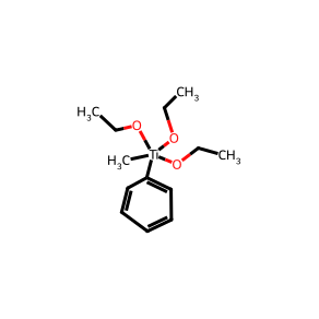 CC[O][Ti]([CH3])([O]CC)([O]CC)[c]1ccccc1